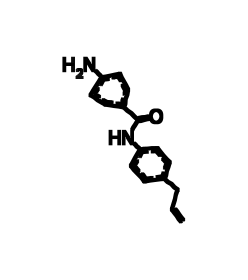 C=CCc1ccc(NC(=O)c2ccc(N)cc2)cc1